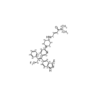 CN(C)C(=O)/C=C/CNC1CCN(c2ccc(/C(=C(/CC(F)(F)F)c3ccccc3)c3ccc4[nH]nc(F)c4c3)cn2)CC1